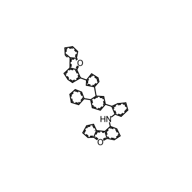 c1ccc(-c2ccc(-c3ccccc3Nc3cccc4oc5ccccc5c34)cc2-c2cccc(-c3cccc4c3oc3ccccc34)c2)cc1